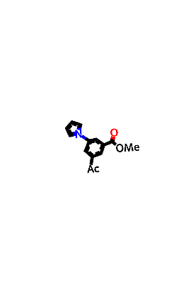 COC(=O)c1cc(C(C)=O)cc(-n2cccc2)c1